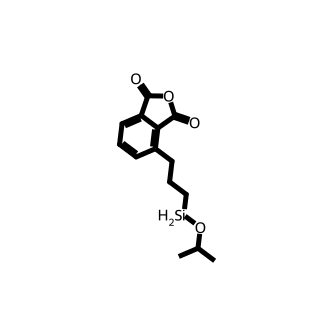 CC(C)O[SiH2]CCCc1cccc2c1C(=O)OC2=O